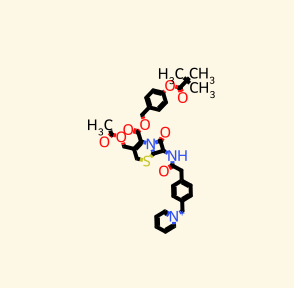 CC(=O)OCC1=C(C(=O)OCc2ccc(OC(=O)C(C)(C)C)cc2)N2C(=O)C(NC(=O)Cc3ccc(C[n+]4ccccc4)cc3)C2SC1